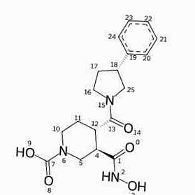 O=C(NO)[C@H]1CN(C(=O)O)CC[C@@H]1C(=O)N1CC[C@H](c2ccccc2)C1